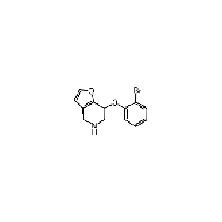 Brc1ccccc1OC1CNCc2ccoc21